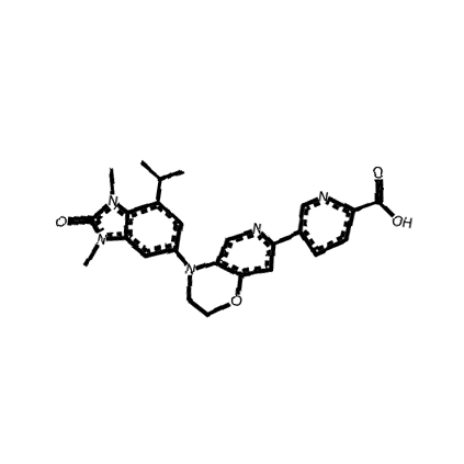 CC(C)c1cc(N2CCOc3cc(-c4ccc(C(=O)O)nc4)ncc32)cc2c1n(C)c(=O)n2C